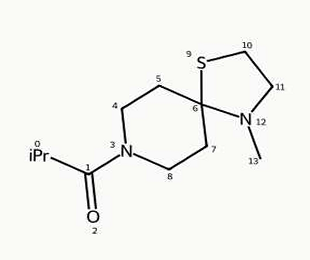 CC(C)C(=O)N1CCC2(CC1)SCCN2C